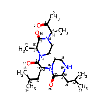 CC(=O)[C@H](C)N1CCN(C(=O)[C@H](CC(C)C)N2CCN[C@@H](CC(C)C)C2=O)[C@@H](C)C1=O